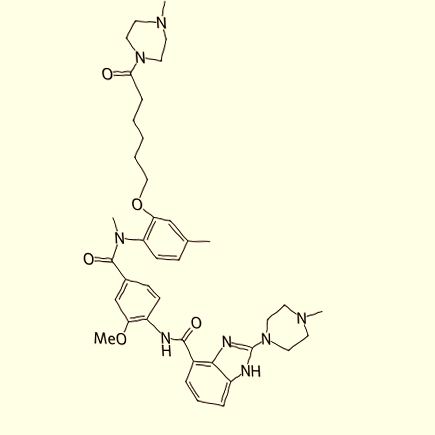 COc1cc(C(=O)N(C)c2ccc(C)cc2OCCCCCC(=O)N2CCN(C)CC2)ccc1NC(=O)c1cccc2[nH]c(N3CCN(C)CC3)nc12